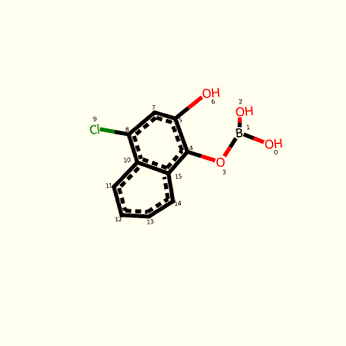 OB(O)Oc1c(O)cc(Cl)c2ccccc12